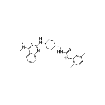 Cc1ccc(C)c(NC(=S)NC[C@H]2CC[C@@H](Nc3nc(N(C)C)c4ccccc4n3)CC2)c1